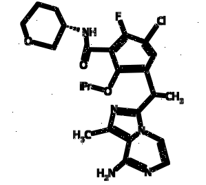 Cc1nc(C(C)c2cc(Cl)c(F)c(C(=O)N[C@H]3CCCOC3)c2OC(C)C)n2ccnc(N)c12